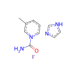 Cc1ccc[n+](C(N)=O)c1.[I-].c1c[nH]cn1